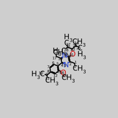 CCc1nc(-c2ccc(C(C)C)cc2OC)c(CC)nc1OC(C(C)C)C(C)C